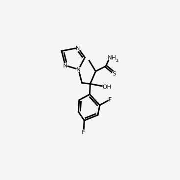 CC(C(N)=S)C(O)(Cn1cncn1)c1ccc(F)cc1F